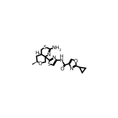 C[C@H]1C[C@H]2CSC(N)=NC2(c2nc(NC(=O)c3coc(C4CC4)n3)cs2)CO1